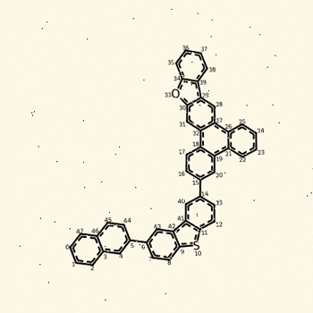 c1ccc2cc(-c3ccc4sc5ccc(-c6ccc7c(c6)c6ccccc6c6cc8c(cc76)oc6ccccc68)cc5c4c3)ccc2c1